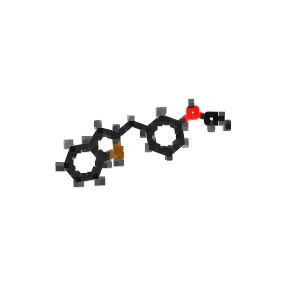 COc1cccc(Cc2cc3ccccc3s2)c1